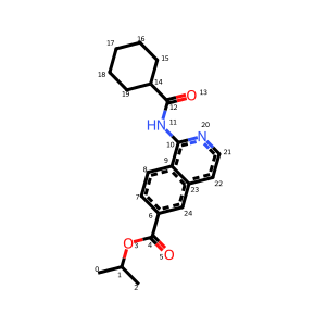 CC(C)OC(=O)c1ccc2c(NC(=O)C3CCCCC3)nccc2c1